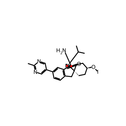 Cc1ncc(-c2ccc3c(c2)C2(N=C(N)N(C(C)C)C2=O)[C@]2(CC[C@H](OI)CC2)C3)cn1